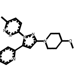 COC1CCN(c2cc(-c3ccccn3)n(-c3ccc(C)nn3)n2)CC1